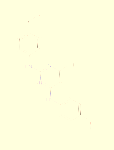 COc1ccc(Nc2cc(C)nc(Nc3ccc(CO)cc3)n2)cc1